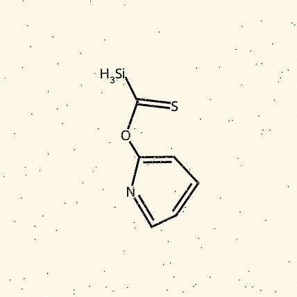 [SiH3]C(=S)Oc1ccccn1